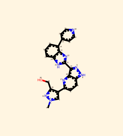 Cn1cc(-c2ccc3[nH]nc(-c4nc5c(-c6ccncc6)cccc5[nH]4)c3n2)c(CO)n1